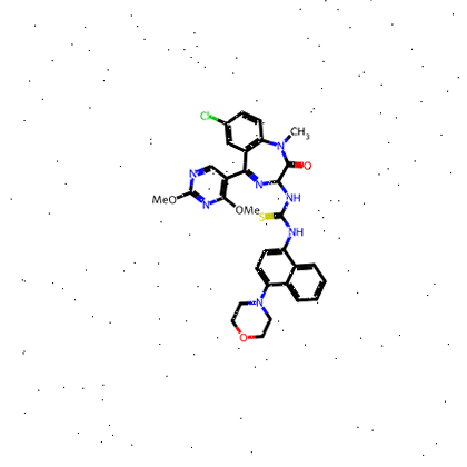 COc1ncc(C2=NC(NC(=S)Nc3ccc(N4CCOCC4)c4ccccc34)C(=O)N(C)c3ccc(Cl)cc32)c(OC)n1